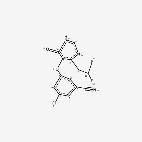 N#Cc1cc(Cl)cc(Oc2c(CC(F)F)nc[nH]c2=O)c1